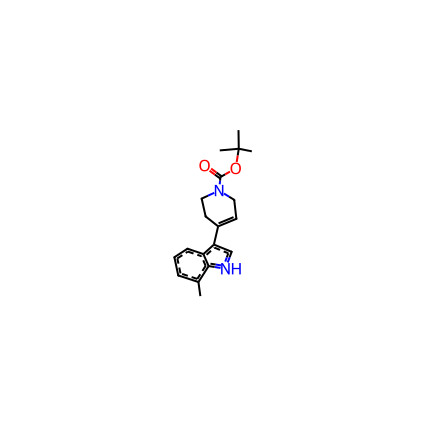 Cc1cccc2c(C3=CCN(C(=O)OC(C)(C)C)CC3)c[nH]c12